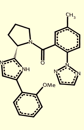 COc1ccccc1-c1cnc([C@@H]2CCCN2C(=O)c2cc(C)ccc2-n2nccn2)[nH]1